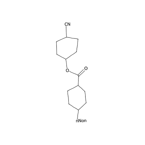 CCCCCCCCCC1CCC(C(=O)OC2CCC(C#N)CC2)CC1